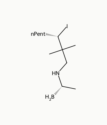 B[C@@H](C)NCC(C)(C)[C@@H](I)CCCCC